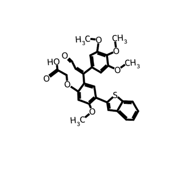 COc1cc(OCC(=O)O)c(C(=CC=O)c2cc(OC)c(OC)c(OC)c2)cc1-c1cc2ccccc2s1